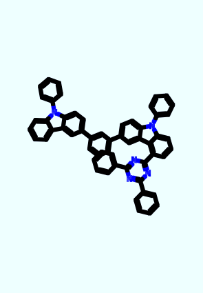 c1ccc(-c2nc(-c3ccccc3)nc(-c3cccc4c3c3cc(-c5cccc(-c6ccc7c(c6)c6ccccc6n7-c6ccccc6)c5)ccc3n4-c3ccccc3)n2)cc1